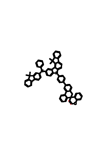 CC1(C)c2ccccc2-c2ccc(N(c3ccccc3)c3ccc4c(c3)c3c5c(ccc3n4-c3ccc(-c4ccc6c(c4)-c4ccccc4C4(C6)c6ccccc6Oc6ccccc64)cc3)-c3ccccc3C5(C)C)cc21